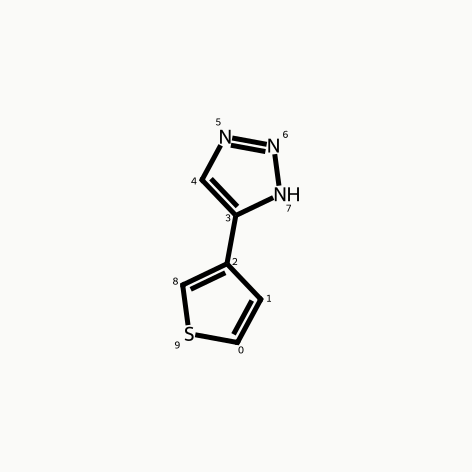 c1cc(-c2cnn[nH]2)cs1